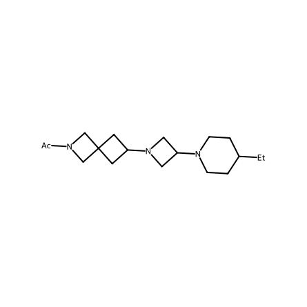 CCC1CCN(C2CN(C3CC4(C3)CN(C(C)=O)C4)C2)CC1